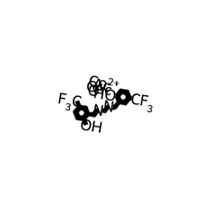 CC(=O)[O-].CC(=O)[O-].Oc1ccc(C(F)(F)F)cc1C=NCN=Cc1cc(C(F)(F)F)ccc1O.[Co+2]